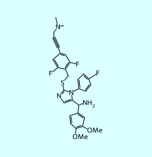 COc1ccc(C(N)c2cnc(SCc3c(F)cc(C#CCN(C)C)cc3F)n2-c2ccc(F)cc2)cc1OC